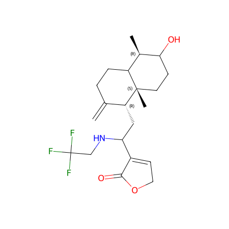 C=C1CCC2[C@@H](C)C(O)CC[C@]2(C)[C@@H]1CC(NCC(F)(F)F)C1=CCOC1=O